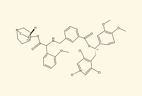 COc1ccc([C@H](Cc2c(Cl)c[n+]([O-])cc2Cl)OC(=O)c2cccc(CNC(C(=O)O[C@H]3CN4CCC3CC4)c3ccccc3OC)c2)cc1OC